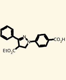 CCOC(=O)C1CN(c2ccc(C(=O)O)cc2)N=C1c1ccccc1